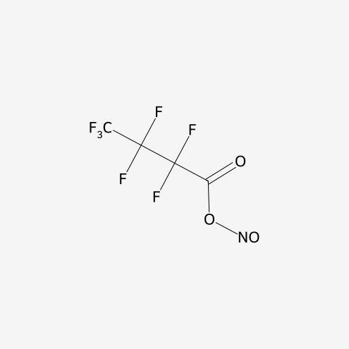 O=NOC(=O)C(F)(F)C(F)(F)C(F)(F)F